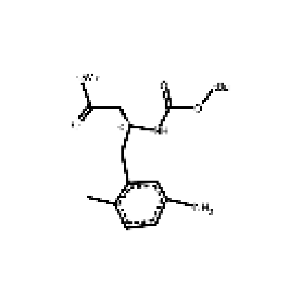 COC(=O)C[C@H](Cc1cc(N)ccc1C)NC(=O)OC(C)(C)C